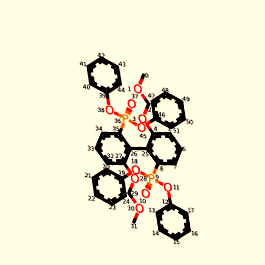 COCOc1cccc(P(=O)(Oc2ccccc2)Oc2ccccc2)c1-c1c(OCOC)cccc1P(=O)(Oc1ccccc1)Oc1ccccc1